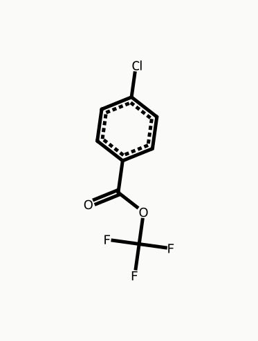 O=C(OC(F)(F)F)c1ccc(Cl)cc1